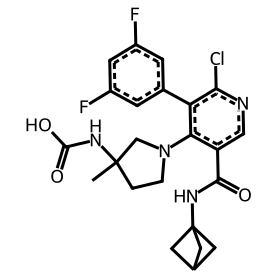 CC1(NC(=O)O)CCN(c2c(C(=O)NC34CC(C3)C4)cnc(Cl)c2-c2cc(F)cc(F)c2)C1